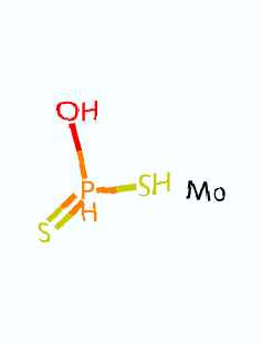 O[PH](=S)S.[Mo]